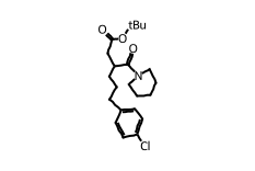 CC(C)(C)OC(=O)CC(CCCc1ccc(Cl)cc1)C(=O)N1CCCCC1